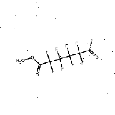 COC(=O)C(F)(F)C(F)(F)C(F)(F)C(F)(F)C(=O)F